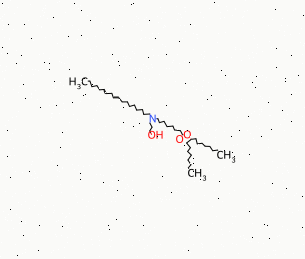 CCCCC/C=C/C/C=C/CCCCCCCCN(CCCO)CCCCCCCC(=O)OC(CCCCCCCC)CCCCCCCC